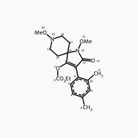 CCOC(=O)OC1=C(c2ccc(C)cc2C)C(=O)N(OC)C12CCN(OC)CC2